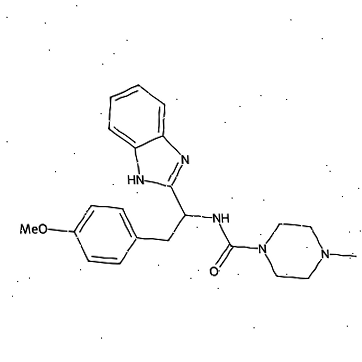 COc1ccc(CC(NC(=O)N2CCN(C)CC2)c2nc3ccccc3[nH]2)cc1